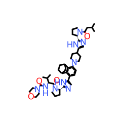 CC(C)CC(=O)N1CCC[C@H]1c1ncc(C2CCN(c3ccc(-c4cnc([C@@H]5CCCN5C(=O)[C@H](NC(=O)N5CCOCC5)C(C)C)[nH]4)c4c3C3CCC4CC3)CC2)[nH]1